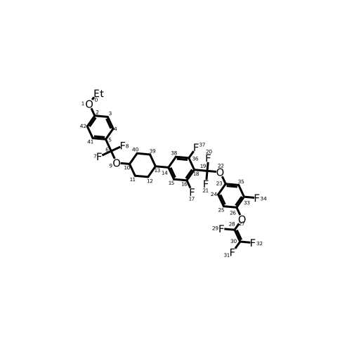 CCOc1ccc(C(F)(F)OC2CCC(c3cc(F)c(C(F)(F)Oc4ccc(OC(F)=C(F)F)c(F)c4)c(F)c3)CC2)cc1